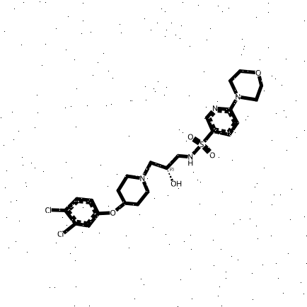 O=S(=O)(NC[C@H](O)CN1CCC(Oc2ccc(Cl)c(Cl)c2)CC1)c1ccc(N2CCOCC2)nc1